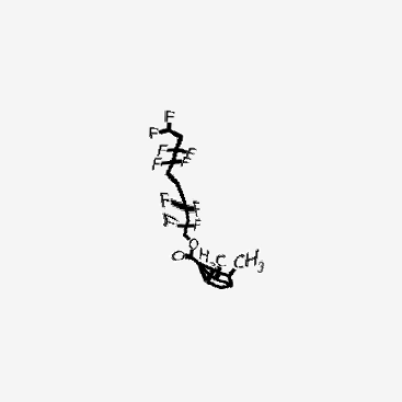 CC1C2CC3C1C3(C(=O)OCC(F)(F)C(F)(F)CCC(F)(F)C(F)(F)CC(F)F)C2C